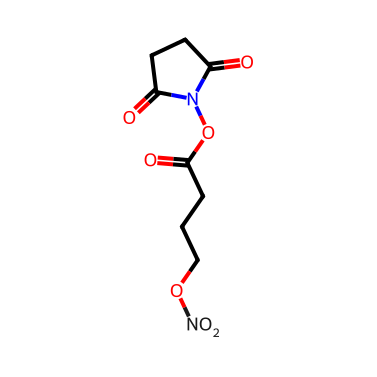 O=C(CCCO[N+](=O)[O-])ON1C(=O)CCC1=O